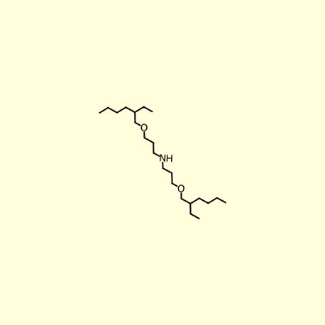 CCCCC(CC)COCCCNCCCOCC(CC)CCCC